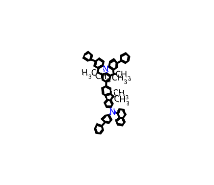 CC1(C)c2cc(-c3cc4c5c(c3)C(C)(C)c3cc(-c6ccccc6)ccc3N5c3ccc(-c5ccccc5)cc3C4(C)C)ccc2-c2ccc(N(c3ccc(-c4ccccc4)cc3)c3cccc4ccccc34)cc21